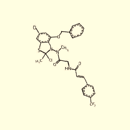 CN(C(=O)CNC(=O)C=Cc1ccc(C(F)(F)F)cc1)N1c2c(OCc3ccccc3)cc(Cl)cc2SC1(C)Cl